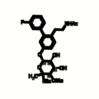 CCCCC1(C)O[C@@H](Oc2ccc(CCNC(C)=O)c(-c3cccc(F)c3)c2)[C@H](O)[C@H](O)[C@H]1OC